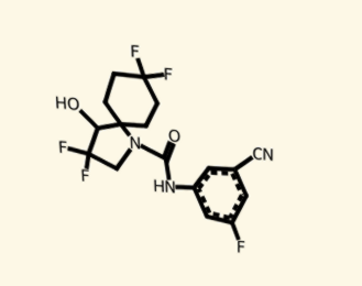 N#Cc1cc(F)cc(NC(=O)N2CC(F)(F)C(O)C23CCC(F)(F)CC3)c1